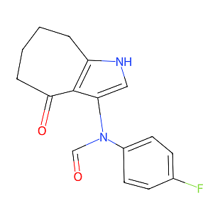 O=CN(c1ccc(F)cc1)c1c[nH]c2c1C(=O)CCCC2